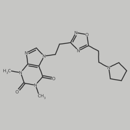 Cn1c(=O)c2c(ncn2CCc2noc(CCN3CCCC3)n2)n(C)c1=O